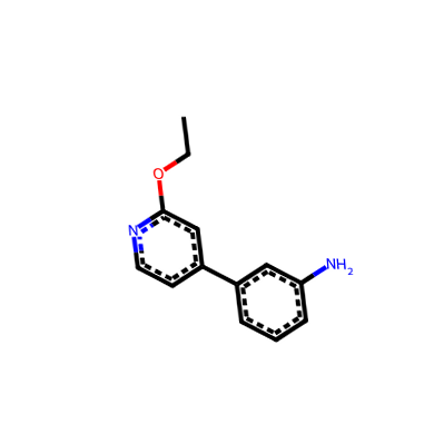 CCOc1cc(-c2cccc(N)c2)ccn1